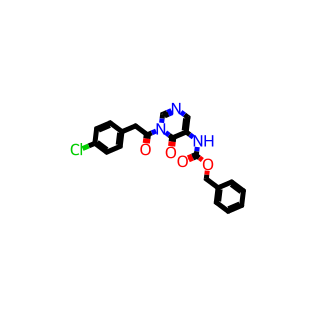 O=C(Nc1cncn(C(=O)Cc2ccc(Cl)cc2)c1=O)OCc1ccccc1